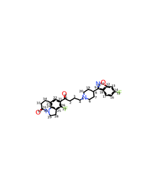 O=C(CCCN1CCC(c2noc3cc(F)ccc23)CC1)c1cc2c3c(c1F)CCN3C(=O)CC2